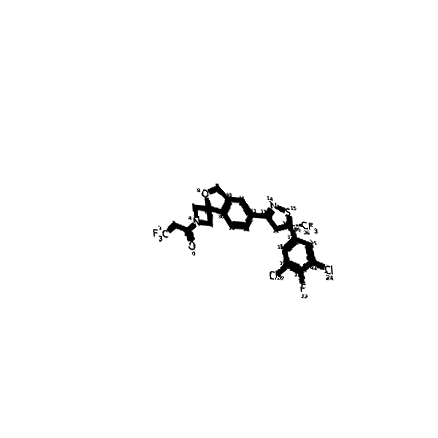 O=C(CC(F)(F)F)N1CC2(C1)OCc1cc(C3=NS[C@](c4cc(Cl)c(F)c(Cl)c4)(C(F)(F)F)C3)ccc12